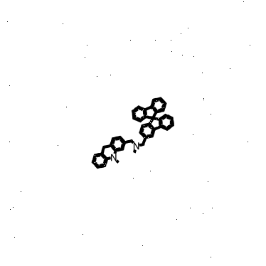 CN(Cc1ccc2c(c1)-c1ccccc1C21c2ccccc2-c2ccccc21)Cc1ccc2c(c1)N(C)c1ccccc1C2